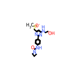 C[S+]([O-])Cc1cc(NCCO)nc(-c2ccc(NC(=O)N3CCC3)cc2)n1